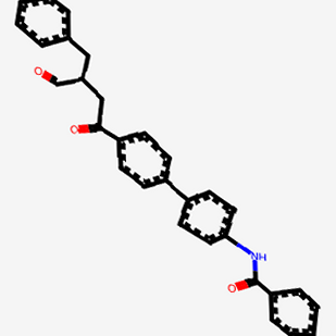 O=CC(CC(=O)c1ccc(-c2ccc(NC(=O)c3ccccc3)cc2)cc1)Cc1ccccc1